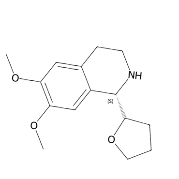 COc1cc2c(cc1OC)[C@@H](C1CCCO1)NCC2